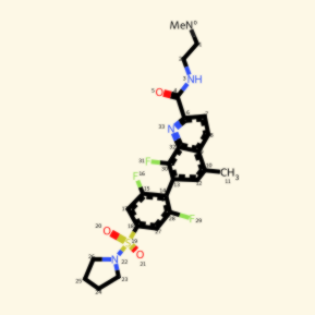 CNCCNC(=O)c1ccc2c(C)cc(-c3c(F)cc(S(=O)(=O)N4CCCC4)cc3F)c(F)c2n1